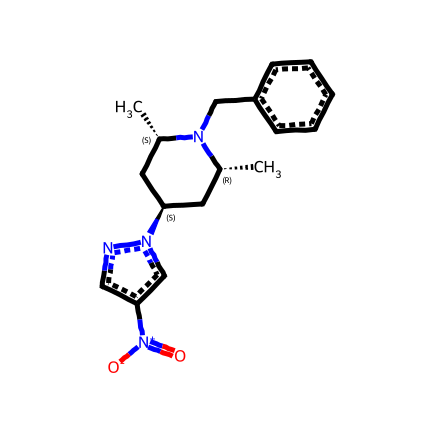 C[C@@H]1C[C@@H](n2cc([N+](=O)[O-])cn2)C[C@H](C)N1Cc1ccccc1